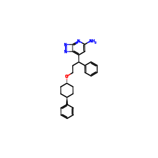 Nc1cc(C(CCO[C@H]2CC[C@H](c3ccccc3)CC2)c2ccccc2)c2c(n1)N=N2